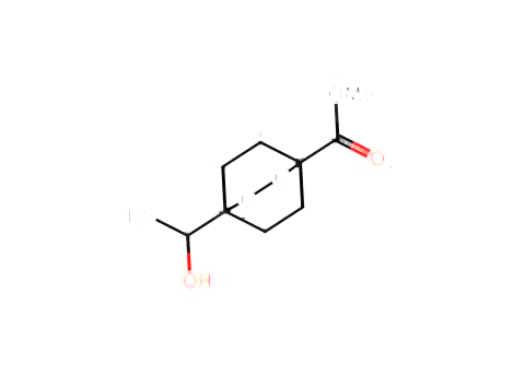 COC(=O)C12CCC(C(C)O)(CC1)CC2